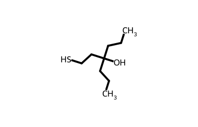 CCCC(O)(CCC)CCS